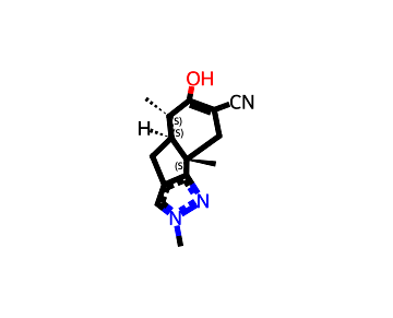 C[C@@H]1C(O)=C(C#N)C[C@]2(C)c3nn(C)cc3C[C@@H]12